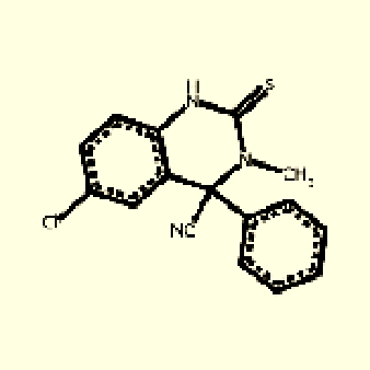 CN1C(=S)Nc2ccc(Cl)cc2C1(C#N)c1ccccc1